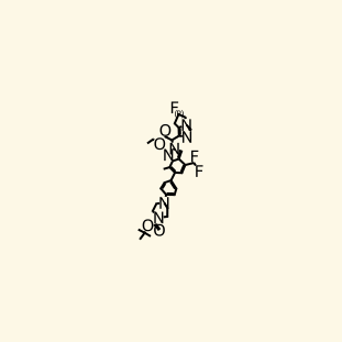 CCOC(=O)C(c1ncn2c1C[C@@H](F)C2)n1cc2c(C(F)F)cc(-c3ccc(N4CCN(C(=O)OC(C)(C)C)CC4)cc3)c(C)c2n1